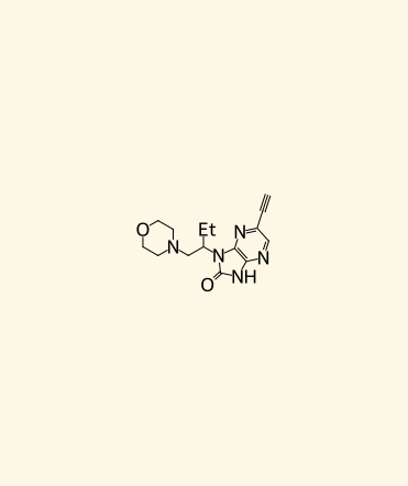 C#Cc1cnc2[nH]c(=O)n(C(CC)CN3CCOCC3)c2n1